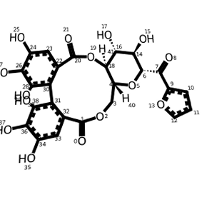 O=C1OC[C@H]2O[C@@H](C(=O)c3ccco3)[C@H](O)[C@@H](O)[C@@H]2OC(=O)c2cc(O)c(O)c(O)c2-c2c1cc(O)c(O)c2O